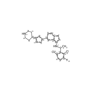 CC(Nn1ccc2ncc(-c3cnn(C4CCNCC4)c3)cc21)c1c(Cl)ccc(F)c1Cl